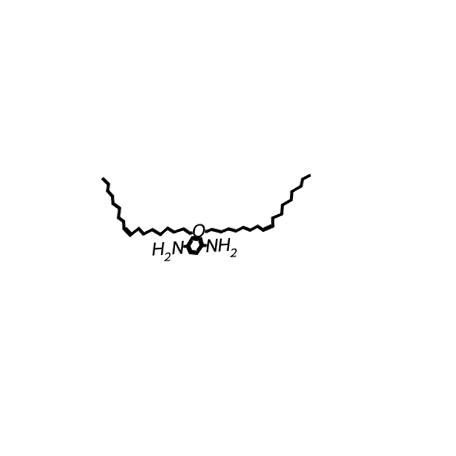 CCCCCCCC/C=C\CCCCCCCCOCCCCCCCC/C=C\CCCCCCCC.Nc1ccc(N)cc1